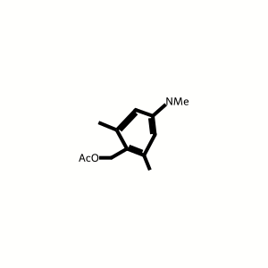 CNc1cc(C)c(COC(C)=O)c(C)c1